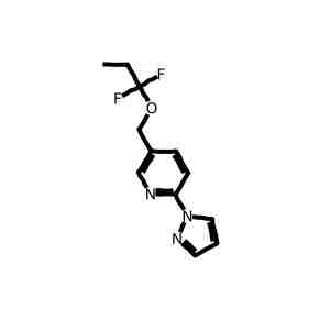 CCC(F)(F)OCc1ccc(-n2cccn2)nc1